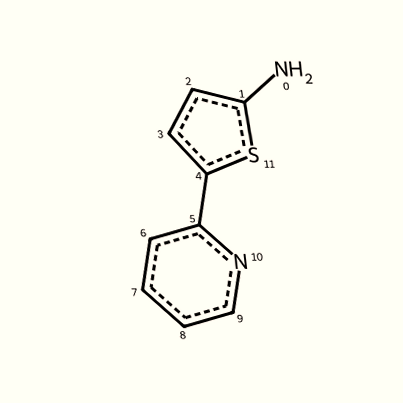 Nc1ccc(-c2ccccn2)s1